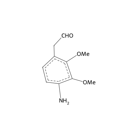 COc1c(N)ccc(CC=O)c1OC